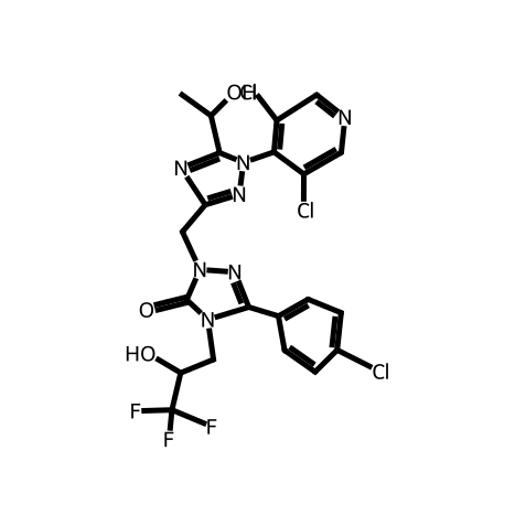 CC(O)c1nc(Cn2nc(-c3ccc(Cl)cc3)n(CC(O)C(F)(F)F)c2=O)nn1-c1c(Cl)cncc1Cl